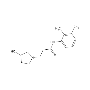 Cc1cccc(NC(=O)CCN2CCC(O)C2)c1C